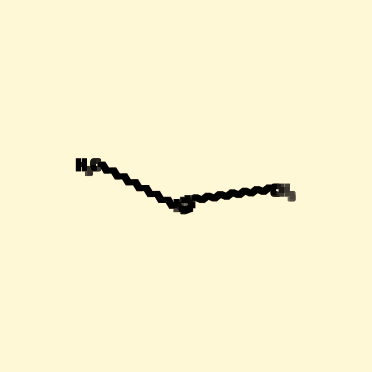 CCCCCCCCCCCCCCCN1C=CN(CCCCCCCCCCCCCC)C1